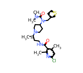 Cc1cc(Cl)nc(C)c1C(=O)NCC[C@@H](C)N1CCC(N(Cc2ccsc2)C(=O)N(C)C)CC1